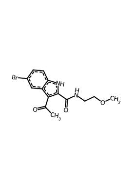 COCCNC(=O)c1[nH]c2ccc(Br)cc2c1C(C)=O